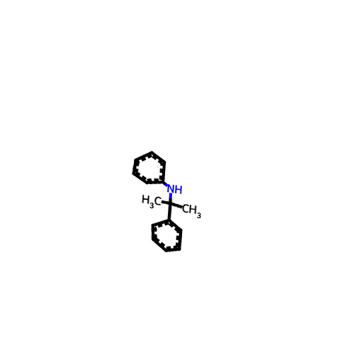 CC(C)(Nc1ccccc1)c1ccccc1